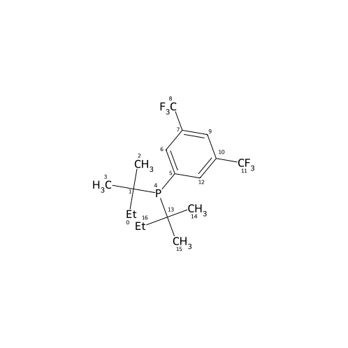 CCC(C)(C)P(c1cc(C(F)(F)F)cc(C(F)(F)F)c1)C(C)(C)CC